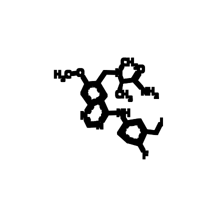 COc1cc2ncnc(Nc3ccc(F)c(CI)c3)c2cc1CN(C)[C@H](C)C(N)=O